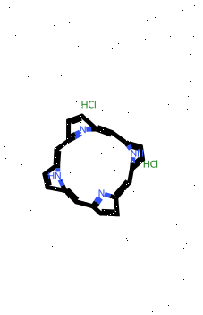 C1=Cc2cc3ccc(cc4nc(cc5ccc(cc1n2)[nH]5)C=C4)[nH]3.Cl.Cl